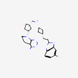 CN(C[C@H]1C[C@@H](N2CCC3C(N)NCNC32)[C@H](O)[C@@H]1O)[C@H]1C[C@H](CCC2Nc3ccc(C(C)(C)C)cc3N2)C1